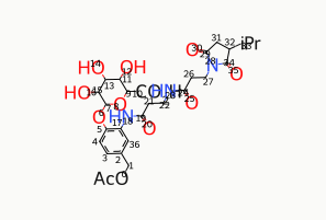 CC(=O)OCc1ccc(OC2OC(C(=O)O)C(O)C(O)C2O)c(NC(=O)CCNC(=O)CCN2C(=O)CC(C(C)C)C2=O)c1